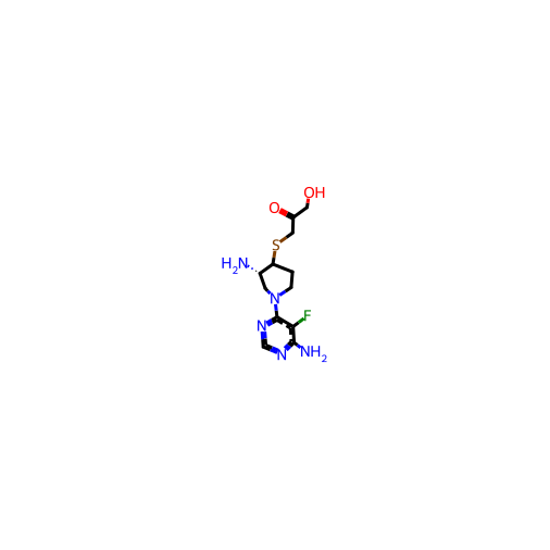 Nc1ncnc(N2CCC(SCC(=O)CO)[C@@H](N)C2)c1F